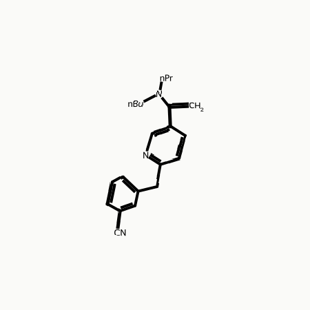 C=C(c1ccc(Cc2cccc(C#N)c2)nc1)N(CCC)CCCC